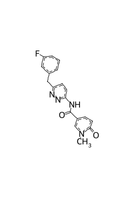 Cn1cc(C(=O)Nc2ccc(Cc3cccc(F)c3)nn2)ccc1=O